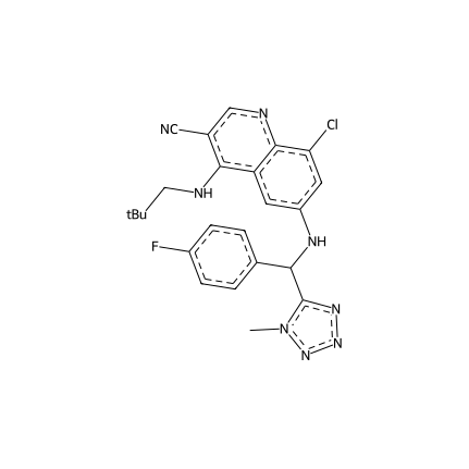 Cn1nnnc1C(Nc1cc(Cl)c2ncc(C#N)c(NCC(C)(C)C)c2c1)c1ccc(F)cc1